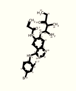 C=CC(=O)Nc1cc2c(Nc3ccc(Br)cc3F)ncnc2cc1OC(N)C(C)C(=O)CC